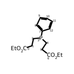 CCOC(=O)CCP(CCC(=O)OCC)c1ccccc1